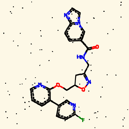 O=C(NCC1=NOC(COc2ncccc2-c2ccc(F)nc2)C1)c1ccc2nccn2c1